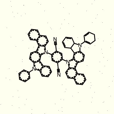 N#Cc1cc(-n2c3ccc4ccccc4c3c3ccc4c(c5ccccc5n4-c4ccccc4)c32)c(C#N)cc1-n1c2ccc3ccccc3c2c2ccc3c(c21)C1C=CC=CC1N3C1=CCCC=C1